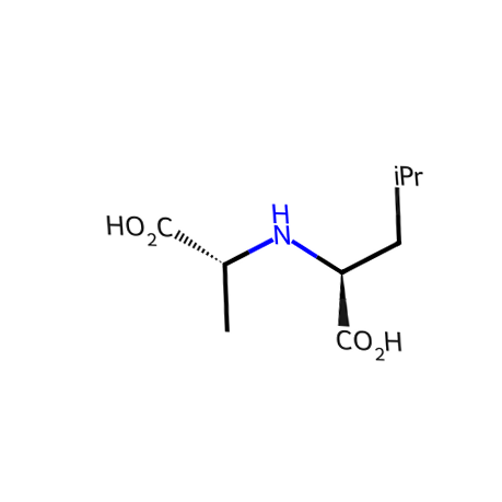 CC(C)C[C@H](N[C@H](C)C(=O)O)C(=O)O